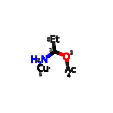 CCC(N)OC(C)=O.[Cu]